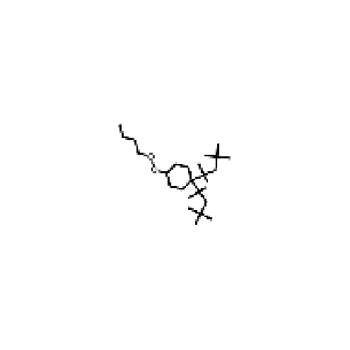 CCCCOOC1CCC(C(C)(C)CC(C)(C)C)(C(C)(C)CC(C)(C)C)CC1